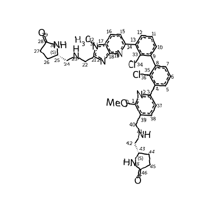 COc1nc(-c2cccc(-c3cccc(-c4ccc5c(n4)nc(CNC[C@@H]4CCC(=O)N4)n5C)c3Cl)c2Cl)ccc1CNC[C@@H]1CCC(=O)N1